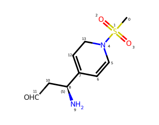 CS(=O)(=O)N1C=CC([C@@H](N)CC=O)=CC1